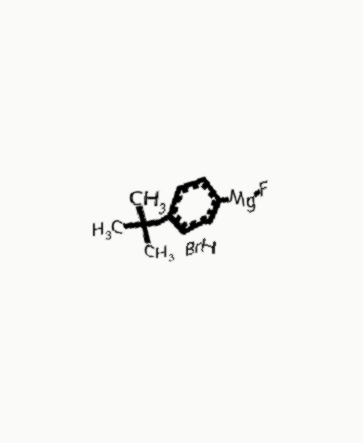 Br.CC(C)(C)c1cc[c]([Mg][F])cc1